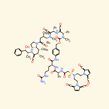 CC[C@H](C)[C@@H]([C@@H](CC(=C=O)N1CCC[C@H]1[C@H](OC)[C@H](C)C(=C=O)N[C@H](C)[C@@H](O)c1ccccc1)OC)N(C)C(=C=O)[C@@H](NC(=C=O)[C@H](C(C)C)N(C)C(=O)OCc1ccc(NC(=O)[C@H](CCCNC(N)=O)NC(=O)[C@@H](NC(=O)CS(=O)(=O)N(CCn2c(=C=O)ccc2=C=O)CCn2c(=C=O)ccc2=C=O)C(C)C)cc1)C(C)C